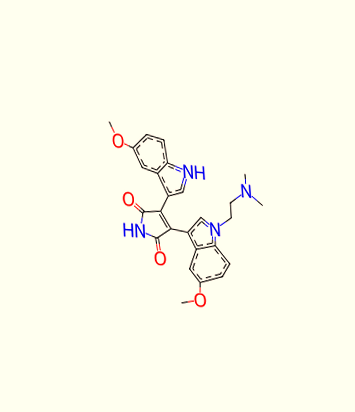 COc1ccc2[nH]cc(C3=C(c4cn(CCN(C)C)c5ccc(OC)cc45)C(=O)NC3=O)c2c1